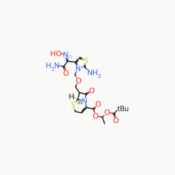 CC(OC(=O)C1=CCS[C@H]2C(COC[n+]3c(/C(=N/O)C(N)=O)csc3N)C(=O)N12)OC(=O)C(C)(C)C